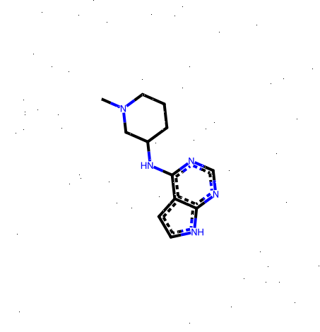 CN1CCCC(Nc2ncnc3[nH]ccc23)C1